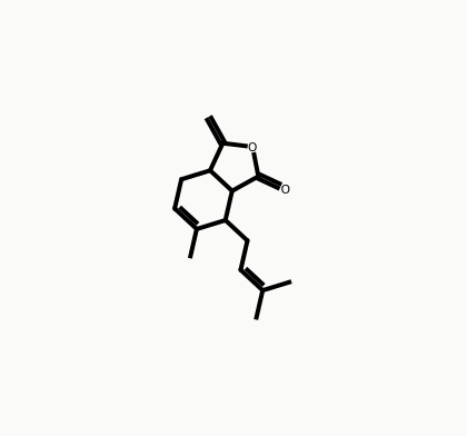 C=C1OC(=O)C2C1CC=C(C)C2CC=C(C)C